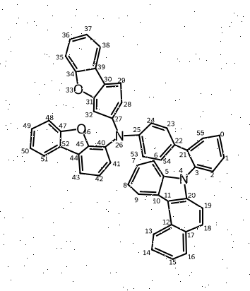 c1ccc(-n2c3ccccc3c3c4ccccc4ccc32)c(-c2ccc(N(c3ccc4c(c3)oc3ccccc34)c3cccc4c3oc3ccccc34)cc2)c1